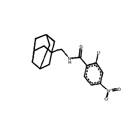 O=C(NCC12CC3CC(CC(C3)C1)C2)c1ccc([N+](=O)[O-])cc1Cl